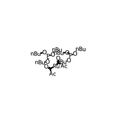 CC(=O)[C](=O)[Ru][C](=O)C(C)=O.CCCCOP(OCCCC)OCCCC.CCCCOP(OCCCC)OCCCC